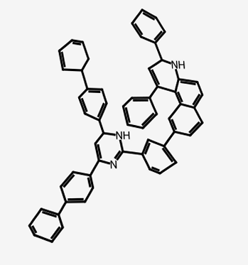 C1=CCC(c2ccc(C3C=C(c4ccc(-c5ccccc5)cc4)N=C(c4cccc(-c5ccc6ccc7c(c6c5)C(c5ccccc5)=CC(c5ccccc5)N7)c4)N3)cc2)C=C1